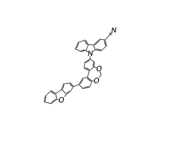 N#Cc1ccc2c(c1)c1ccccc1n2-c1ccc2c(c1)OCOc1ccc(-c3ccc4c(c3)oc3ccccc34)cc1-2